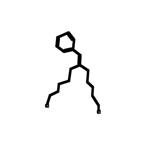 ClCCCCCC(=Cc1ccccc1)CCCCCCl